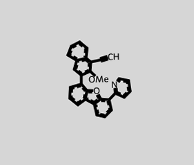 C#Cc1c(OC)c(-c2cccc3c2oc2c(-c4ccccn4)cccc23)cc2ccccc12